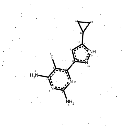 Nc1nc(N)c(F)c(-c2cc(C3CC3)[nH]n2)n1